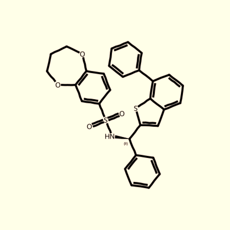 O=S(=O)(N[C@H](c1ccccc1)c1cc2cccc(-c3ccccc3)c2s1)c1ccc2c(c1)OCCCO2